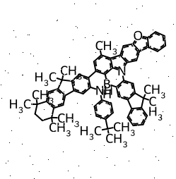 Cc1cc(-c2cc3c(cc2Nc2ccc(C(C)(C)C)cc2)-c2cc4c(cc2C3(C)C)C(C)(C)CCC4(C)C)c2c3c1c1cc4oc5ccccc5c4cc1n3-c1cc3c(cc1B2)-c1ccccc1C3(C)C